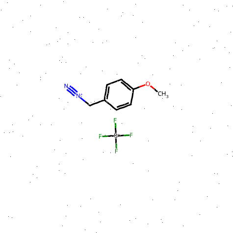 COc1ccc(C[N+]#N)cc1.F[B-](F)(F)F